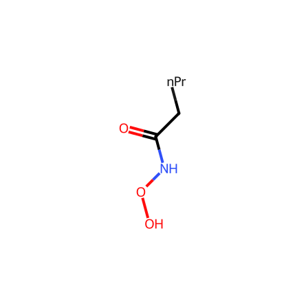 CCCCC(=O)NOO